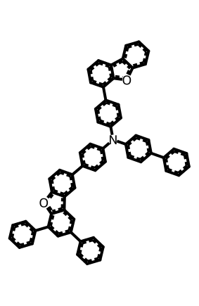 c1ccc(-c2ccc(N(c3ccc(-c4ccc5oc6c(-c7ccccc7)cc(-c7ccccc7)cc6c5c4)cc3)c3ccc(-c4cccc5c4oc4ccccc45)cc3)cc2)cc1